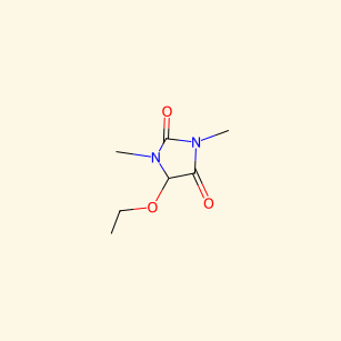 CCOC1C(=O)N(C)C(=O)N1C